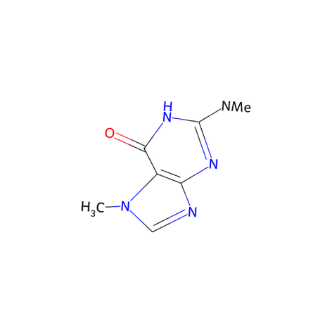 CNc1nc2ncn(C)c2c(=O)[nH]1